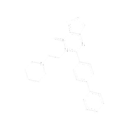 O=c1c2occc2nc(-c2ccc(-c3ccccc3)cc2)n1CCN1CCCCC1